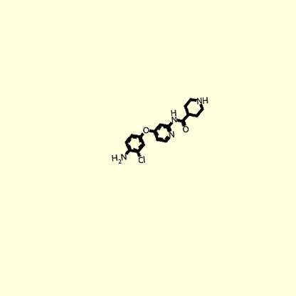 Nc1ccc(Oc2ccnc(NC(=O)C3CCNCC3)c2)cc1Cl